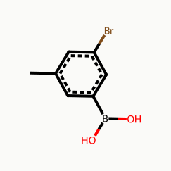 Cc1cc(Br)cc(B(O)O)c1